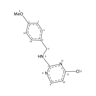 COc1ccc(CNc2nccc(Cl)n2)cc1